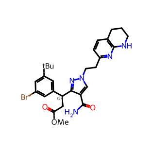 COC(=O)C[C@@H](c1cc(Br)cc(C(C)(C)C)c1)c1nn(CCc2ccc3c(n2)NCCC3)cc1C(N)=O